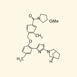 CO[C@H]1CCN(C(=O)c2ccc(COc3ccc(C)cc3-c3csc(N4CC5CC[C@@H](C5)C4)n3)c(C)c2)C1